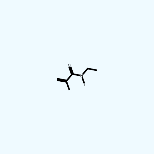 C=C(C)C(=O)N(I)CC